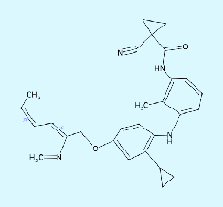 C=N/C(=C\C=C/C)COc1ccc(Nc2cccc(NC(=O)C3(C#N)CC3)c2C)c(C2CC2)c1